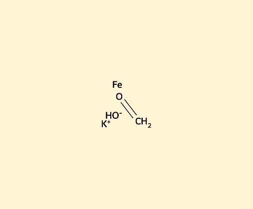 C=O.[Fe].[K+].[OH-]